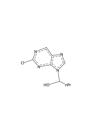 CCCC(O)n1cnc2cnc(Cl)nc21